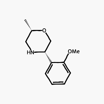 COc1ccccc1[C@H]1CO[C@@H](C)CN1